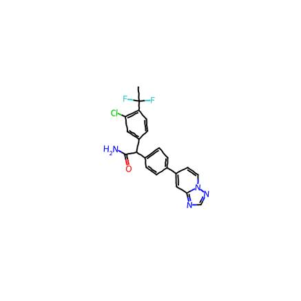 CC(F)(F)c1ccc(C(C(N)=O)c2ccc(-c3ccn4ncnc4c3)cc2)cc1Cl